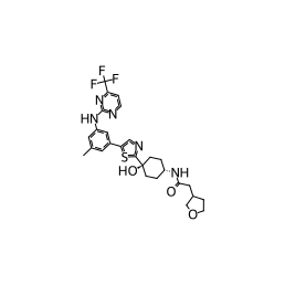 Cc1cc(Nc2nccc(C(F)(F)F)n2)cc(-c2cnc([C@]3(O)CC[C@H](NC(=O)CC4CCOC4)CC3)s2)c1